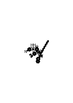 CCCCCCCCCCCCC(C(=O)NC1=CC(=O)C(NC(=O)Nc2ccc(C#N)cc2)=CC1=Nc1ccc(N(CC)CC)cc1)n1nnc(C2C=Cc3ccccc3C2)n1